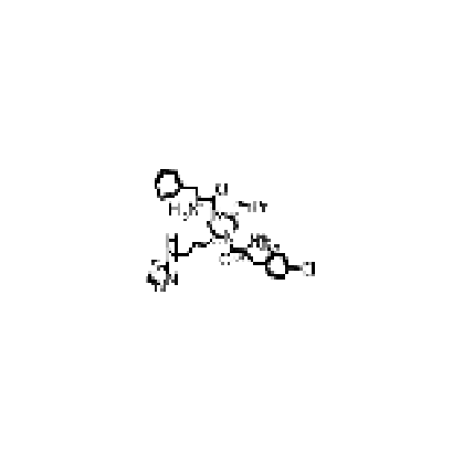 CC(C)C[C@@H]1CN(C(=O)[C@H](N)Cc2ccc(Cl)cc2Cl)[C@@H](CCCNc2nncs2)CN1C(=O)[C@@H](N)Cc1ccccc1